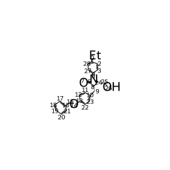 CCc1ccc(N2C(=O)[C@@H](Cc3ccc(OCc4ccccc4)cc3)[C@H]2CO)cc1